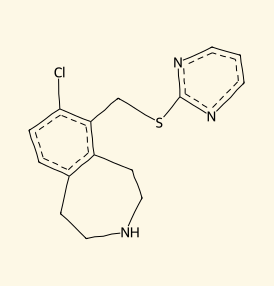 Clc1ccc2c(c1CSc1ncccn1)CCNCC2